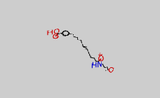 O=[C]CCCNC(=O)CCCCCCCCCCc1ccc(C(=O)O)cc1